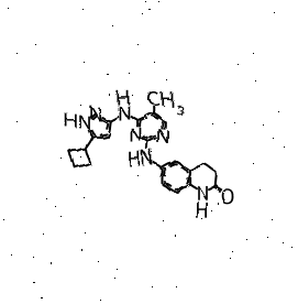 Cc1cnc(Nc2ccc3c(c2)CCC(=O)N3)nc1Nc1cc(C2CCC2)[nH]n1